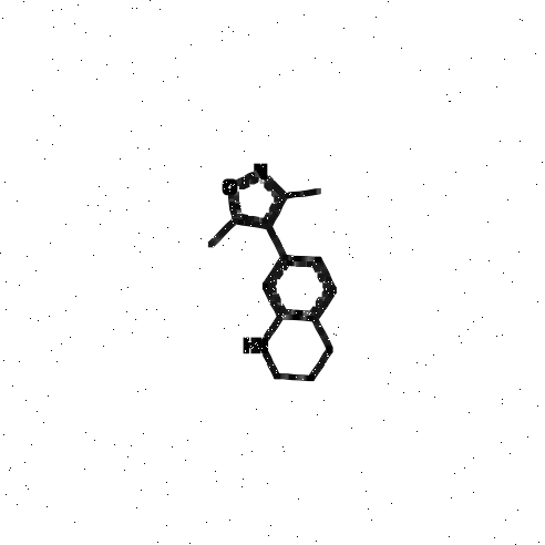 Cc1noc(C)c1-c1ccc2c(c1)NCCC2